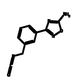 Nc1nc(-c2cccc(CN=C=O)c2)no1